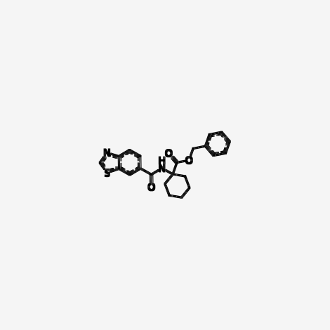 O=C(NC1(C(=O)OCc2ccccc2)CCCCC1)c1ccc2ncsc2c1